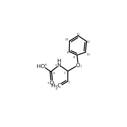 C=CC(NC(=O)O)Oc1ccccc1